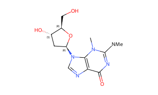 CNc1nc(=O)c2ncn([C@H]3C[C@H](O)[C@@H](CO)O3)c2n1C